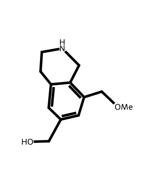 COCc1cc(CO)cc2c1CNCC2